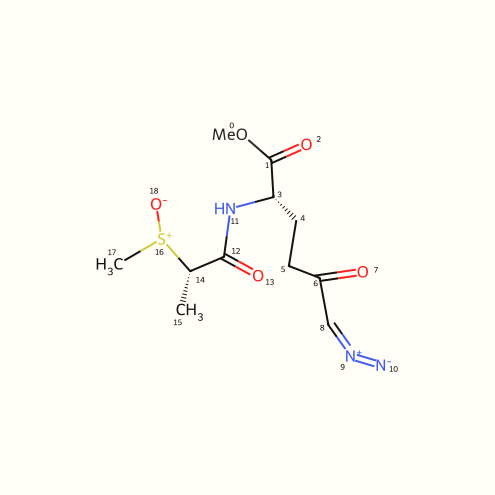 COC(=O)[C@H](CCC(=O)C=[N+]=[N-])NC(=O)[C@H](C)[S+](C)[O-]